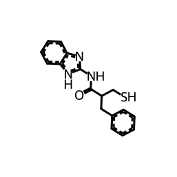 O=C(Nc1nc2ccccc2[nH]1)C(CS)Cc1ccccc1